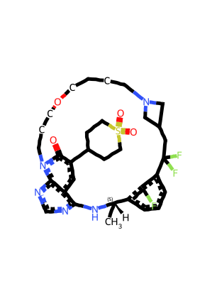 C[C@@H]1Nc2ncnc3c2cc(C2CCS(=O)(=O)CC2)c(=O)n3CCCOCCCCN2CC(C2)CC(F)(F)c2cccc1c2F